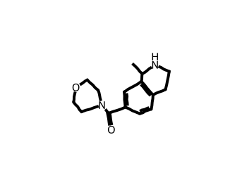 CC1NCCc2ccc(C(=O)N3CCOCC3)cc21